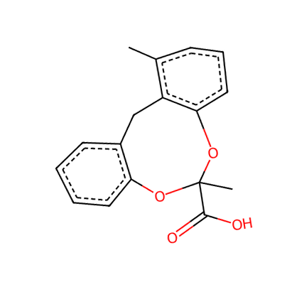 Cc1cccc2c1Cc1ccccc1OC(C)(C(=O)O)O2